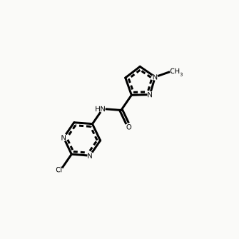 Cn1ccc(C(=O)Nc2cnc(Cl)nc2)n1